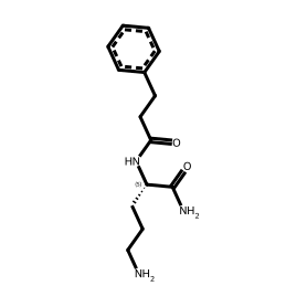 NCCC[C@H](NC(=O)CCc1ccccc1)C(N)=O